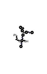 CC(C)CCCC(C)CCOc1cc(/C=C/c2ccc(N(c3ccc(/C=C/c4ccccc4)cc3)c3ccc4c(c3)C(C)(C)c3ccccc3-4)cc2)c(CO)cc1/C=C/c1ccccc1